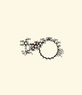 C[C@@H]1[C@H](O)[C@@H](C)/C=C/C=C/C=C/C=C/C=C/C=C/C=C/[C@H](O[C@@H]2O[C@H](C)[C@@H](O)[C@H](NC(=O)OCC[Si](C)(C)C)[C@@H]2O)C[C@@H]2O[C@](O)(C[C@@H](O)C[C@@H](O)[C@H](O)CC[C@@H](O)C[C@@H](O)CC(=O)O[C@H]1C)C[C@H](O)[C@H]2NC(=O)NCCCO[C@H]1O[C@H](CO)[C@@H](O)[C@H](O)[C@@H]1O